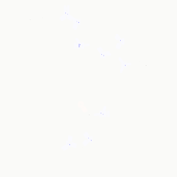 CN(c1nccc(Nc2cc(C3CC3)[nH]n2)n1)C1CCC(NC(=O)c2cn3ccccc3n2)CC1